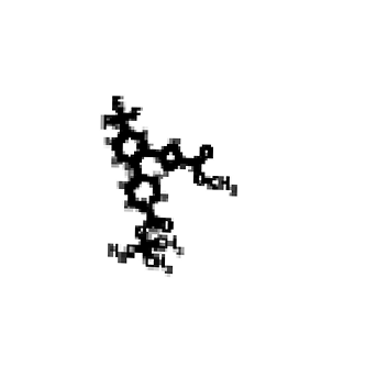 COC(=O)C1CC(c2cc(C(F)(F)F)ccc2C2=CCN(C(=O)OC(C)(C)C)CC2)C1